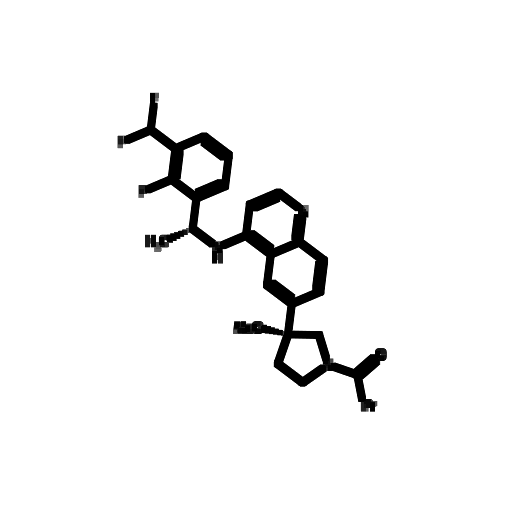 CO[C@@]1(c2ccc3nccc(N[C@H](C)c4cccc(C(F)F)c4F)c3c2)CCN(C(=O)C(C)C)C1